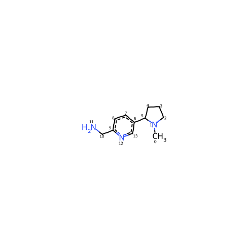 CN1CCCC1c1ccc(CN)nc1